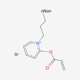 C=CC(=O)Oc1cccc[n+]1CCCCCCCCCCCC.[Br-]